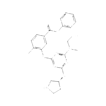 Cc1ccc(C(=O)Nc2ccccc2)cc1Nc1nc(N[C@H]2CCNC2)nc(N(C)CC(C)(C)C)n1